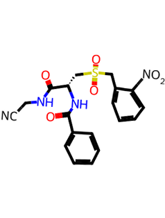 N#CCNC(=O)[C@H](CS(=O)(=O)Cc1ccccc1[N+](=O)[O-])NC(=O)c1ccccc1